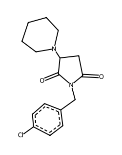 O=C1CC(N2CCCCC2)C(=O)N1Cc1ccc(Cl)cc1